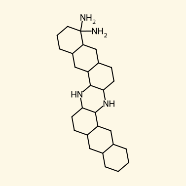 NC1(N)CCCC2CC3C(CCC4NC5C(CCC6CC7CCCCC7CC65)NC43)CC21